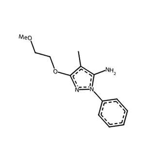 COCCOc1nn(-c2ccccc2)c(N)c1C